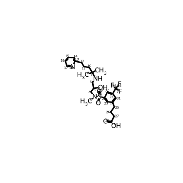 CN(CC(O)CNC(C)(C)CCCc1ccccn1)S(=O)(=O)c1cc(CCCC(=O)O)cc(C(F)(F)F)c1